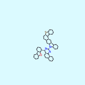 c1ccc2c(c1)ccc1c(-c3cccc4c3oc3ccccc34)nc(-n3c4ccccc4c4cc5c(ccc6sc7ccccc7c65)cc43)nc12